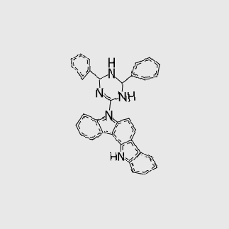 c1ccc(C2N=C(n3c4ccccc4c4c5[nH]c6ccccc6c5ccc43)NC(c3ccccc3)N2)cc1